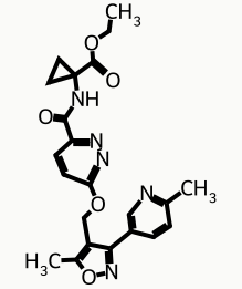 CCOC(=O)C1(NC(=O)c2ccc(OCc3c(-c4ccc(C)nc4)noc3C)nn2)CC1